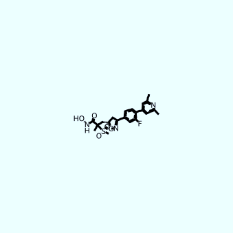 Cc1cc(-c2ccc(C3=NO[C@@H](CC(C)(C(=O)NO)S(C)(=O)=O)C3)cc2F)cc(C)n1